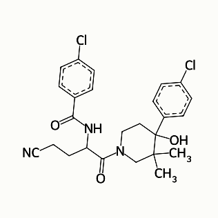 CC1(C)CN(C(=O)C(CCC#N)NC(=O)c2ccc(Cl)cc2)CCC1(O)c1ccc(Cl)cc1